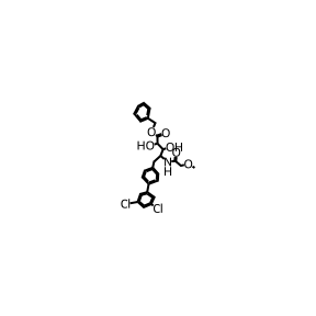 COCC(=O)NC(Cc1ccc(-c2cc(Cl)cc(Cl)c2)cc1)C(O)C(O)C(=O)OCc1ccccc1